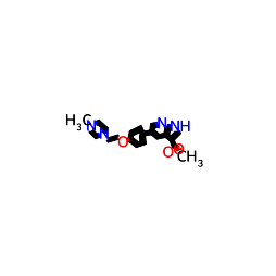 COC(=O)c1c[nH]c2ncc(-c3ccc(OCCN4CCN(C)CC4)cc3)cc12